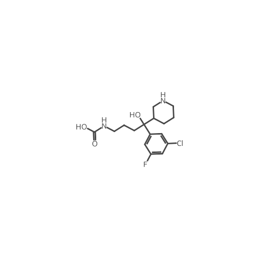 O=C(O)NCCCC(O)(c1cc(F)cc(Cl)c1)C1CCCNC1